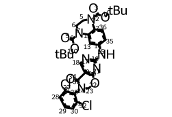 CC(C)(C)OC(=O)N1CCN(C(=O)OC(C)(C)C)c2cc(Nc3ncc4c(n3)OCN(c3c(Cl)cccc3Cl)C4=O)ccc21